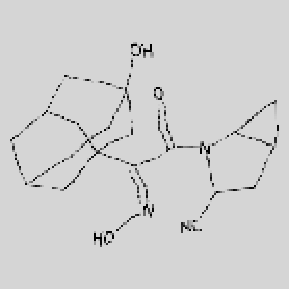 N#CC1CC2CC2N1C(=O)/C(=N/O)C12CC3CC(CC(O)(C3)C1)C2